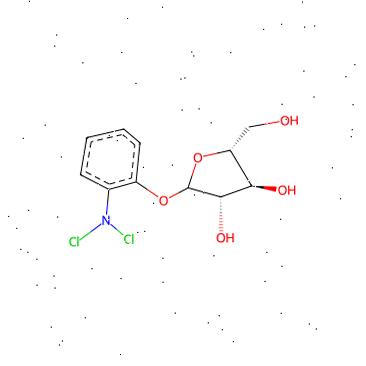 OC[C@H]1OC(Oc2ccccc2N(Cl)Cl)[C@@H](O)[C@@H]1O